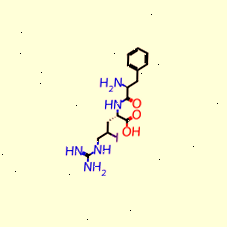 N=C(N)NCC(I)C[C@H](NC(=O)[C@@H](N)Cc1ccccc1)C(=O)O